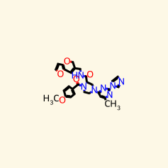 COc1ccc(C(=O)N2CCN(c3cc(C)nc(-n4ccnc4)n3)CC2C(=O)NCC2=Cc3occc3OC2)cc1